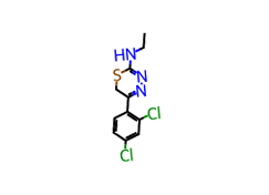 CCNC1=NN=C(c2ccc(Cl)cc2Cl)CS1